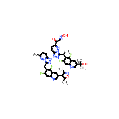 CC(=O)c1ccc2nnc(Cc3c(F)cc4ncc(-c5c(C)noc5C)cc4c3F)n2n1.CC(c1c(F)cc2ncc(C(C)(C)O)cc2c1F)c1nnc2ccc(C(=O)/C=N/O)nn12